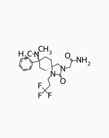 CN(C)[C@]1(c2ccccc2)CC[C@]2(CC1)CN(CC(N)=O)C(=O)N2CCC(F)(F)F